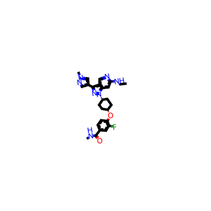 CCNc1cc2c(cn1)c(-c1cnn(C)c1)nn2[C@H]1CC[C@@H](Oc2ccc(C(=O)NC)cc2F)CC1